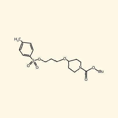 Cc1ccc(S(=O)(=O)OCCCOC2CCN(C(=O)OC(C)(C)C)CC2)cc1